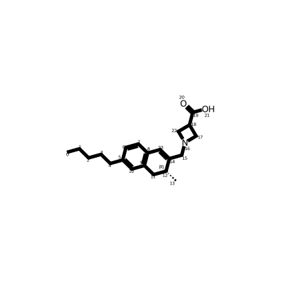 CCCCCc1ccc2c(c1)C[C@@H](C)C(CN1CC(C(=O)O)C1)=C2